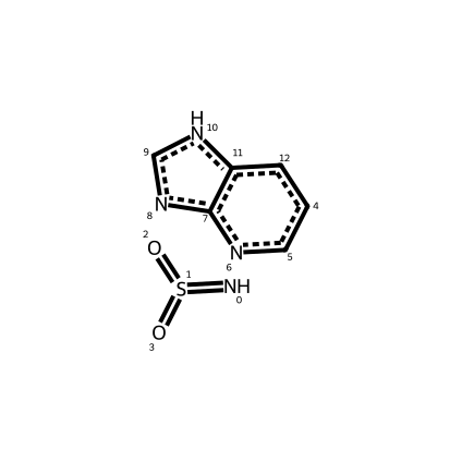 N=S(=O)=O.c1cnc2nc[nH]c2c1